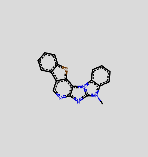 Cn1c2ccccc2n2c3c(ncc4c5ccccc5sc43)nc12